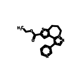 CCOC(=O)c1cc2c(s1)CCCn1ncc(-c3cccnc3)c1-2